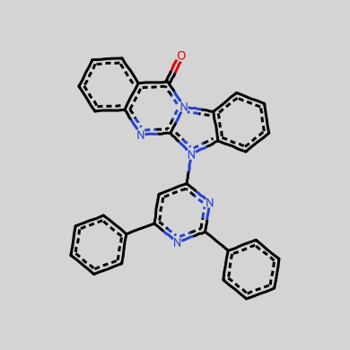 O=c1c2ccccc2nc2n(-c3cc(-c4ccccc4)nc(-c4ccccc4)n3)c3ccccc3n12